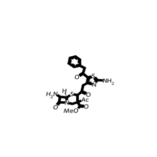 COC(=O)C1(C(C)=O)CN2C(=O)C(N)[C@H]2SC1C(=O)Cc1nc(N)sc1C(=O)Cc1ccccc1